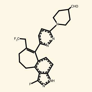 O=CC1CCN(c2ccc(C3=C(CC(F)(F)F)CCCc4c3ccc3[nH]nc(F)c43)nn2)CC1